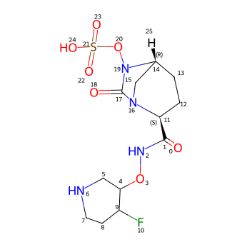 O=C(NOC1CNCCC1F)[C@@H]1CC[C@@H]2CN1C(=O)N2OS(=O)(=O)O